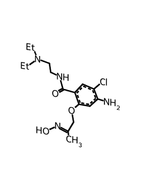 CCN(CC)CCNC(=O)c1cc(Cl)c(N)cc1OCC(C)=NO